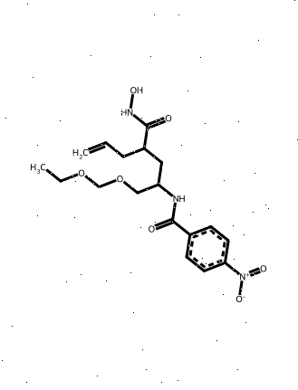 C=CCC(CC(COCOCC)NC(=O)c1ccc([N+](=O)[O-])cc1)C(=O)NO